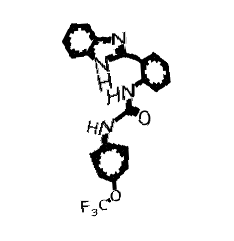 O=C(Nc1ccc(OC(F)(F)F)cc1)Nc1ccccc1-c1nc2ccccc2[nH]1